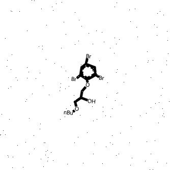 CCCCOCC(O)COc1c(Br)cc(Br)cc1Br